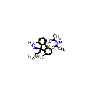 CC(C)NC(C)C.CCCC1(C#N)c2c(C)cccc2-c2cccc(C)c21